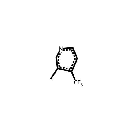 Cc1cnccc1C(F)(F)F